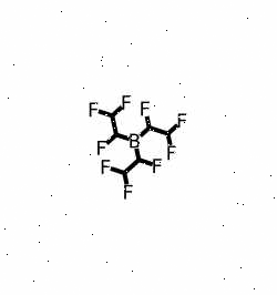 FC(F)C(F)B(C(F)C(F)F)C(F)C(F)F